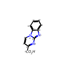 O=C(O)c1ccn2c(n1)nc1ccccc12